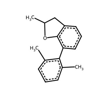 Cc1cccc(C)c1-c1cccc2c1OC(C)C2